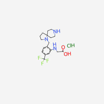 Cl.O=C(O)CNc1cc(C(F)(F)F)ccc1CN1CCCC12CCNCC2